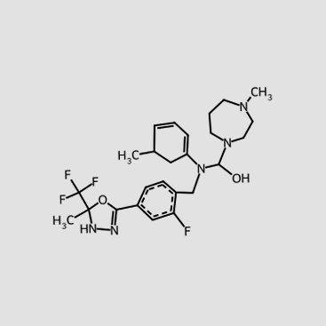 CC1C=CC=C(N(Cc2ccc(C3=NNC(C)(C(F)(F)F)O3)cc2F)C(O)N2CCCN(C)CC2)C1